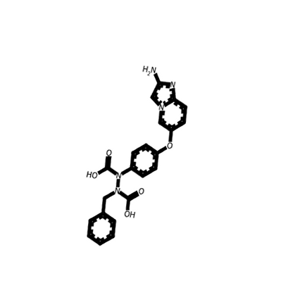 Nc1cn2cc(Oc3ccc(N(C(=O)O)N(Cc4ccccc4)C(=O)O)cc3)ccc2n1